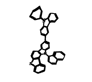 c1ccc(-n2c3ccccc3c3cc(-c4ccc5c(c4)c4ccc6sc7ccccc7c6c4n5-c4cccc5ccccc45)ccc32)cc1